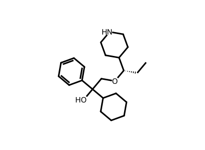 CC[C@H](OCC(O)(c1ccccc1)C1CCCCC1)C1CCNCC1